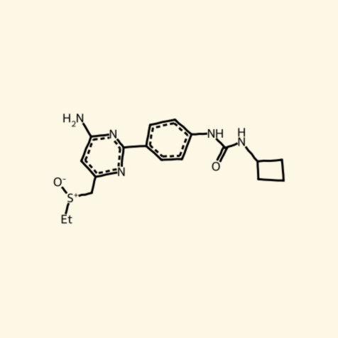 CC[S+]([O-])Cc1cc(N)nc(-c2ccc(NC(=O)NC3CCC3)cc2)n1